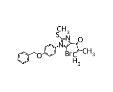 C=C(C)C(=O)c1nc(SC)n(-c2ccc(OCc3ccccc3)cc2)c1Br